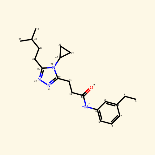 CCc1cccc(NC(=O)CCc2nnc(CCC(C)C)n2C2CC2)c1